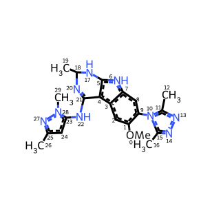 COc1cc2c3c([nH]c2cc1-n1c(C)nnc1C)NC(C)N=C3Nc1cc(C)nn1C